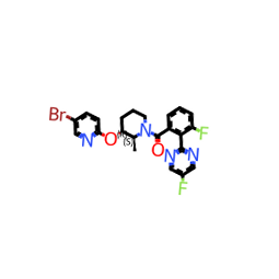 C[C@H]1[C@H](Oc2ccc(Br)cn2)CCCN1C(=O)c1cccc(F)c1-c1ncc(F)cn1